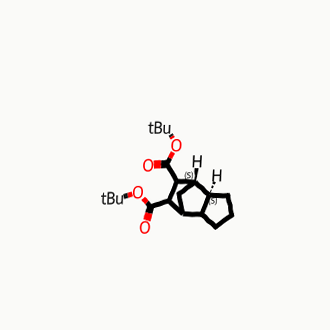 CC(C)(C)OC(=O)C1C2C[C@H](C1C(=O)OC(C)(C)C)[C@H]1CCCC21